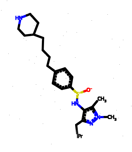 Cc1c(N[S+]([O-])c2ccc(CCCCC3CCNCC3)cc2)c(CC(C)C)nn1C